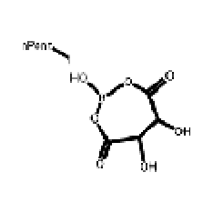 CCCCCI.O=C1OB(O)OC(=O)C(O)C1O